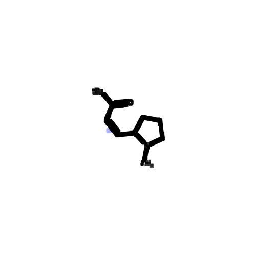 CN1CCCC1/C=C\C(=O)C(C)(C)C